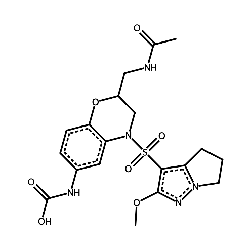 COc1nn2c(c1S(=O)(=O)N1CC(CNC(C)=O)Oc3ccc(NC(=O)O)cc31)CCC2